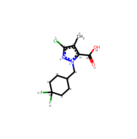 Cc1c(Cl)nn(CC2CCC(F)(F)CC2)c1C(=O)O